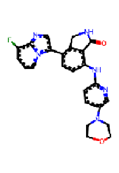 O=C1NCc2c(-c3cnc4c(F)cccn34)ccc(Nc3ccc(N4CCOCC4)cn3)c21